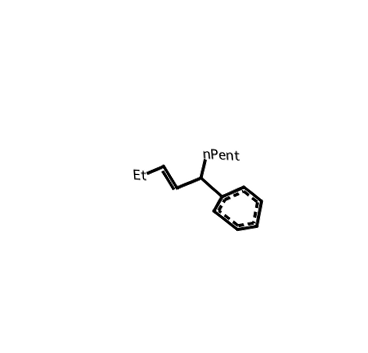 CCC=CC(CCCCC)c1ccccc1